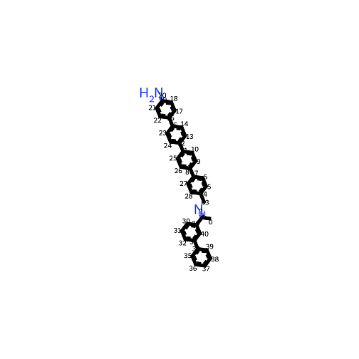 C/C(=N\Cc1ccc(-c2ccc(-c3ccc(-c4ccc(N)cc4)cc3)cc2)cc1)c1cccc(-c2ccccc2)c1